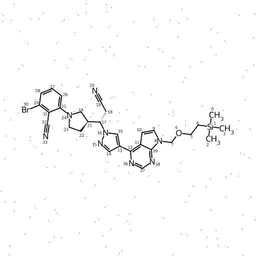 C[Si](C)(C)CCOCn1ccc2c(-c3cnn([C@@H](CC#N)[C@H]4CCN(c5cccc(Br)c5C#N)C4)c3)ncnc21